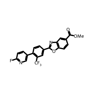 COC(=O)c1ccc2oc(-c3ccc(-c4ccc(F)nc4)c(C(F)(F)F)c3)nc2c1